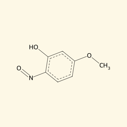 COc1ccc(N=O)c(O)c1